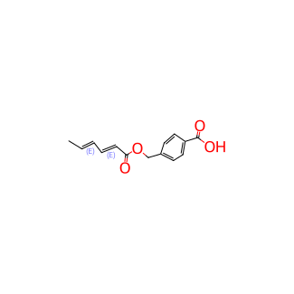 C/C=C/C=C/C(=O)OCc1ccc(C(=O)O)cc1